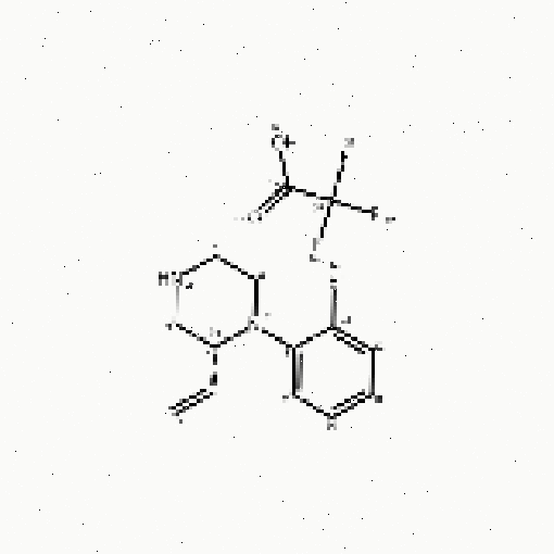 C=C[C@@H]1CNCCN1c1ccccc1Br.O=C(O)C(F)(F)F